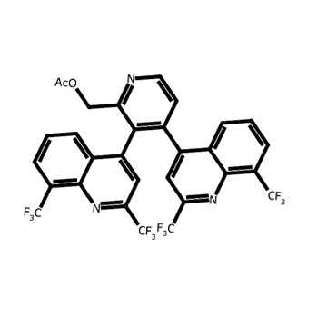 CC(=O)OCc1nccc(-c2cc(C(F)(F)F)nc3c(C(F)(F)F)cccc23)c1-c1cc(C(F)(F)F)nc2c(C(F)(F)F)cccc12